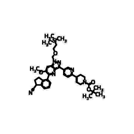 COc1cc2c(nc1-c1cccc3c1CCC3C#N)c(-c1ccc(C3=CCN(C(=O)OC(C)(C)C)CC3)nc1)nn2COCC[Si](C)(C)C